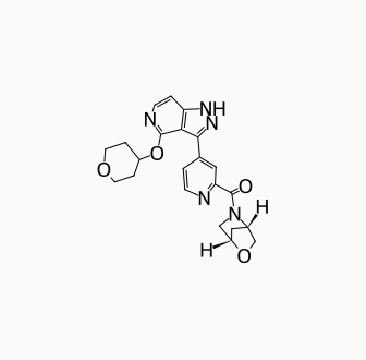 O=C(c1cc(-c2n[nH]c3ccnc(OC4CCOCC4)c23)ccn1)N1C[C@@H]2C[C@H]1CO2